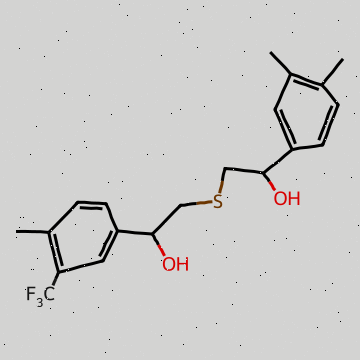 Cc1ccc(C(O)CSCC(O)c2ccc(C)c(C(F)(F)F)c2)cc1C